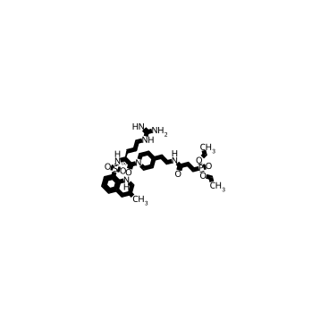 CCOP(=O)(CCC(=O)NCCC1CCN(C(=O)[C@H](CCCNC(=N)N)NS(=O)(=O)c2cccc3c2NCC(C)C3)CC1)OCC